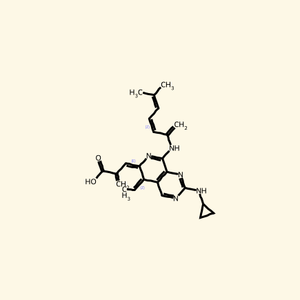 C=C(/C=C\C=C(C)C)Nc1nc(=C/C(=C)C(=O)O)/c(=C\C)c2cnc(NC3CC3)nc12